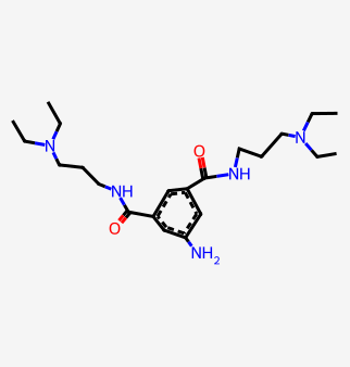 CCN(CC)CCCNC(=O)c1cc(N)cc(C(=O)NCCCN(CC)CC)c1